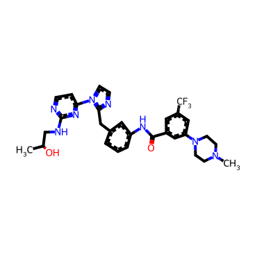 CC(O)CNc1nccc(-n2ccnc2Cc2cccc(NC(=O)c3cc(N4CCN(C)CC4)cc(C(F)(F)F)c3)c2)n1